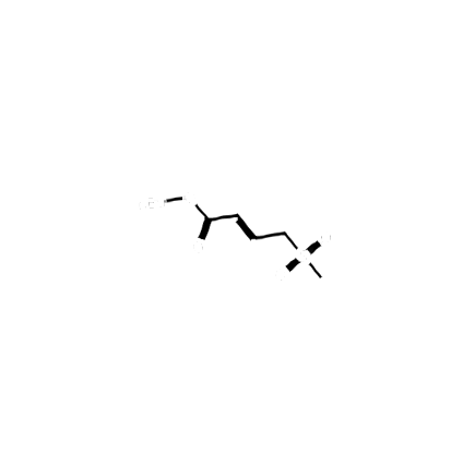 CCCCOC(=O)C=CCS(C)(=O)=O